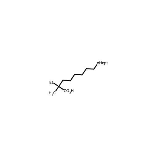 CCCCCCCCCCCCCC(C)(CC)C(=O)O